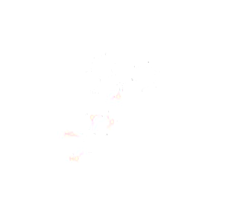 CC(C)(C)C(O[SiH](c1ccccc1)c1ccccc1)[C@@H]1OC[C@H](C(O)CO)O1